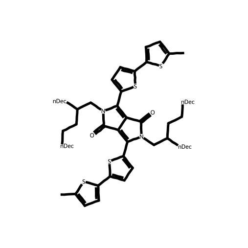 CCCCCCCCCCCCC(CCCCCCCCCC)CN1C(=O)C2=C(c3ccc(-c4ccc(C)s4)s3)N(CC(CCCCCCCCCC)CCCCCCCCCCCC)C(=O)C2=C1c1ccc(-c2ccc(C)s2)s1